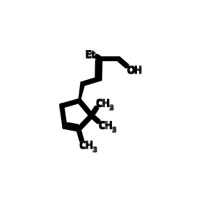 CC/C(=C\C[C@@H]1CC=C(C)C1(C)C)CO